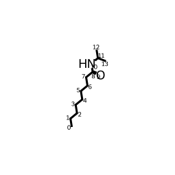 CCCCCCCCC(=O)NC(C)C